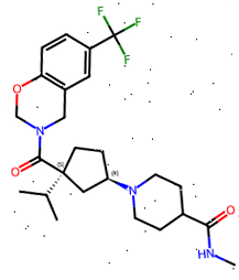 CNC(=O)C1CCN([C@@H]2CC[C@@](C(=O)N3COc4ccc(C(F)(F)F)cc4C3)(C(C)C)C2)CC1